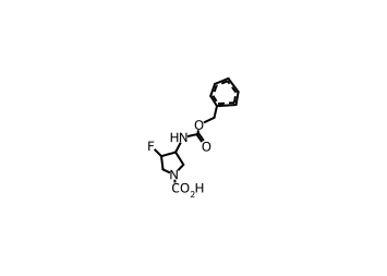 O=C(NC1CN(C(=O)O)CC1F)OCc1ccccc1